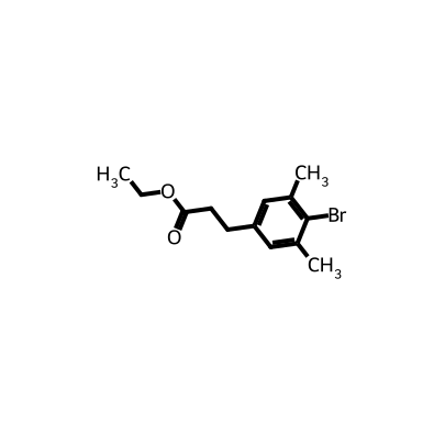 CCOC(=O)CCc1cc(C)c(Br)c(C)c1